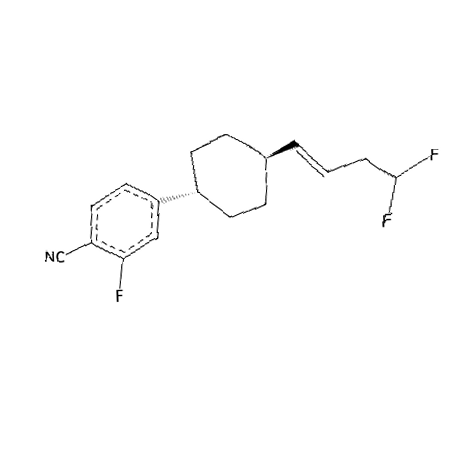 N#Cc1ccc([C@H]2CC[C@H](C=CCC(F)F)CC2)cc1F